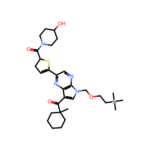 CC1(C(=O)c2cn(COCC[Si](C)(C)C)c3ncc(C4=CCC(C(=O)N5CCC(O)CC5)S4)nc23)CCCCC1